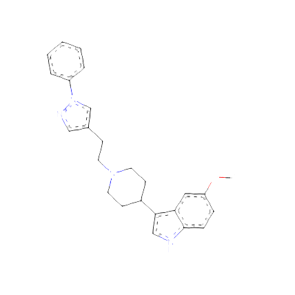 COc1ccc2[nH]cc(C3CCN(CCc4cnn(-c5ccccc5)c4)CC3)c2c1